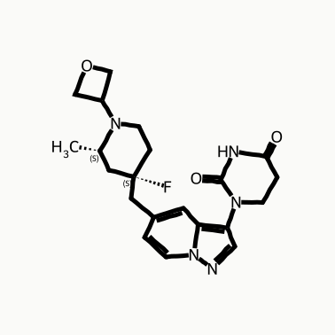 C[C@H]1C[C@](F)(Cc2ccn3ncc(N4CCC(=O)NC4=O)c3c2)CCN1C1COC1